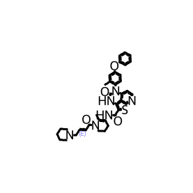 CC1=C(NC(=O)c2sc3nccc4c3c2NC(=O)N4c2ccc(Oc3ccccc3)cc2C)CCCN1C(=O)/C=C/CN1CCCCC1